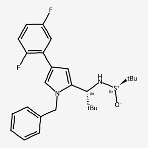 CC(C)(C)[C@@H](N[S@+]([O-])C(C)(C)C)c1cc(-c2cc(F)ccc2F)cn1Cc1ccccc1